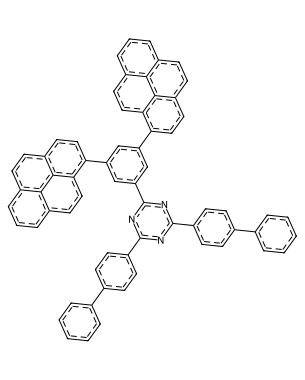 c1ccc(-c2ccc(-c3nc(-c4ccc(-c5ccccc5)cc4)nc(-c4cc(-c5ccc6ccc7cccc8ccc5c6c78)cc(-c5ccc6ccc7cccc8ccc5c6c78)c4)n3)cc2)cc1